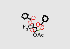 CC(=O)OC1O[C@@](COC(=O)c2ccccc2)(C(F)(F)F)[C@@H](OC(=O)c2ccccc2)[C@H]1F